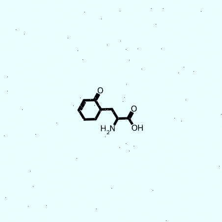 NC(CC1CCC=CC1=O)C(=O)O